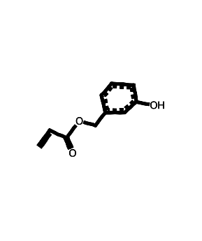 C=CC(=O)OCc1cccc(O)c1